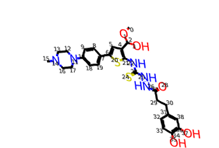 COC(O)c1cc(-c2ccc(N3CCN(C)CC3)cc2)sc1NC(=S)NNC(=O)CCc1ccc(O)c(O)c1